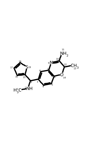 CNC(c1ccc2c(c1)N=C(N)C(C)O2)c1cccs1